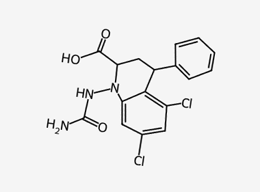 NC(=O)NN1c2cc(Cl)cc(Cl)c2C(c2ccccc2)CC1C(=O)O